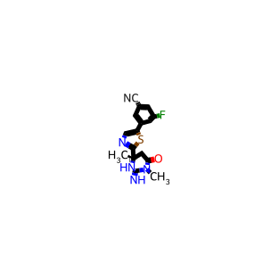 CN1C(=N)N[C@](C)(c2ncc(-c3cc(F)cc(C#N)c3)s2)CC1=O